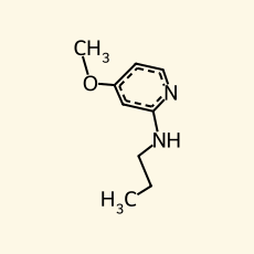 CCCNc1cc(OC)ccn1